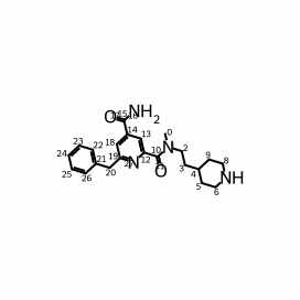 CN(CCC1CCNCC1)C(=O)c1cc(C(N)=O)cc(Cc2ccccc2)n1